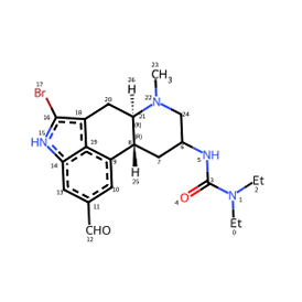 CCN(CC)C(=O)NC1C[C@@H]2c3cc(C=O)cc4[nH]c(Br)c(c34)C[C@H]2N(C)C1